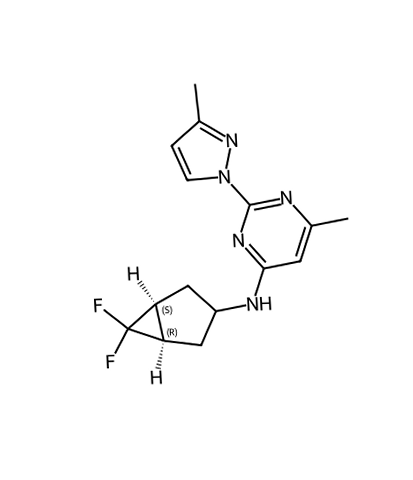 Cc1cc(NC2C[C@@H]3[C@H](C2)C3(F)F)nc(-n2ccc(C)n2)n1